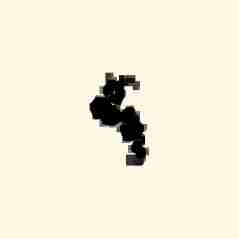 NC1CCN(c2cccc3ccc(-c4cnc5cc(OCCO)ccn45)nc23)CC1F